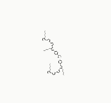 CCCCCc1ccsc1-c1ccc(-c2ccc(-c3sc(-c4ccc(C5CCN(c6ccc(-c7cc(CCCCC)c(-c8ccc(-c9ccc(-c%10sccc%10CCCCC)s9)s8)s7)cc6)C5=O)cc4)cc3CCCCC)s2)s1